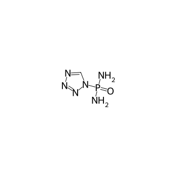 NP(N)(=O)n1cnnn1